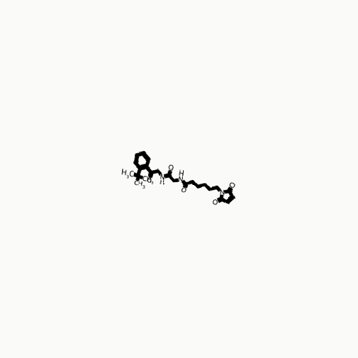 CC(C)(C)c1ccc[c]c1C(=O)CNC(=O)CNC(=O)CCCCCN1C(=O)C=CC1=O